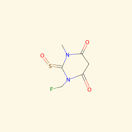 CN1C(=O)CC(=O)N(CF)C1=S=O